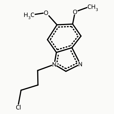 COc1cc2ncn(CCCCl)c2cc1OC